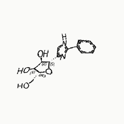 OC[C@H]1O[C@@H](c2c[nH]c(-c3ccccc3)n2)[C@H](O)[C@@H]1O